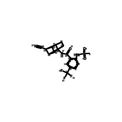 CS(=O)(=O)Nc1ccc(C(F)(F)F)cc1C(=O)NC12C3C4C1C1C2C3C41C#N